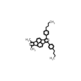 CCCCc1ccc(-c2sc(-c3ccc(CCCC)cc3)c3c2-c2ccc4c5c(ccc-3c25)-c2c(C)sc(C)c2-4)cc1